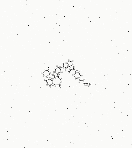 CN1CCn2c(c(C3CCCCC3)c3ccc(C(=O)NC4(C(=O)Nc5ccc(/C=C/C(=O)O)cc5)CCCC4)cc32)-c2ccccc2C1